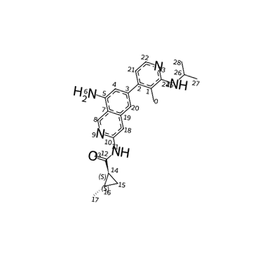 Cc1c(-c2cc(N)c3cnc(NC(=O)[C@H]4C[C@@H]4C)cc3c2)ccnc1NC(C)C